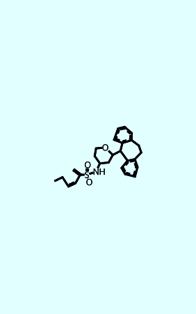 C=C(/C=C\CC)S(=O)(=O)NC1CCOC(C2c3ccccc3CCc3ccccc32)C1